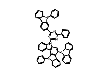 c1ccc(-c2nc(-c3ccc4c5ccccc5n(-c5ccccc5)c4c3)nc(-n3c4ccccc4c4c3cc(-n3c5ccccc5c5ccccc53)c3c5ccccc5n(-c5ccccc5)c34)n2)cc1